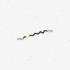 CCCCCCCSCCCCCCCC=O